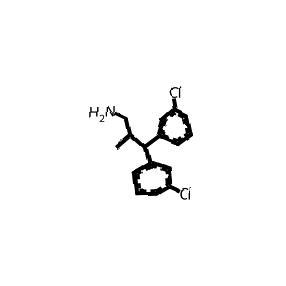 CC(CN)C(c1cccc(Cl)c1)c1cccc(Cl)c1